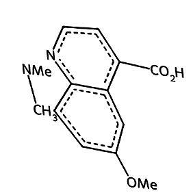 CNC.COc1ccc2nccc(C(=O)O)c2c1